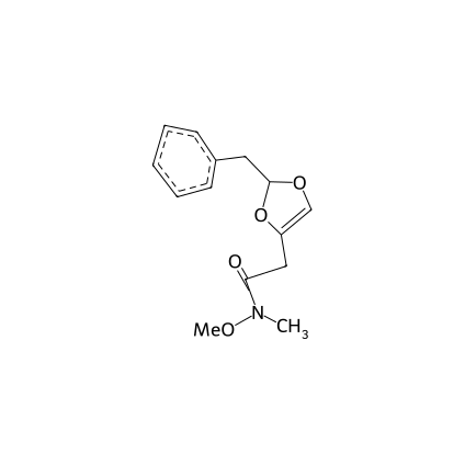 CON(C)C(=O)CC1=COC(Cc2ccccc2)O1